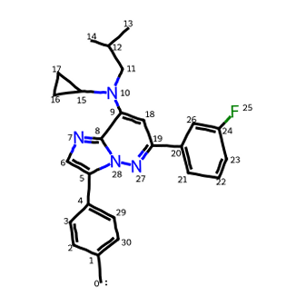 [CH]c1ccc(-c2cnc3c(N(CC(C)C)C4CC4)cc(-c4cccc(F)c4)nn23)cc1